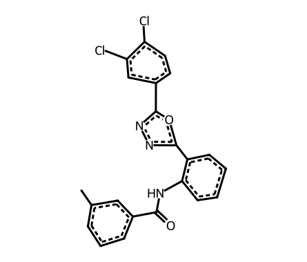 Cc1cccc(C(=O)Nc2ccccc2-c2nnc(-c3ccc(Cl)c(Cl)c3)o2)c1